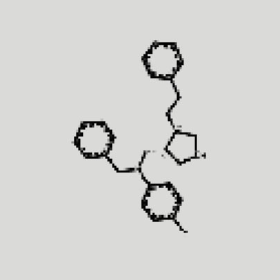 Clc1ccc(N(Cc2ccccc2)C[C@H]2CNC[C@@H]2CCc2ccccc2)cc1